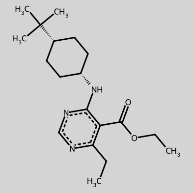 CCOC(=O)c1c(CC)ncnc1N[C@H]1CC[C@@H](C(C)(C)C)CC1